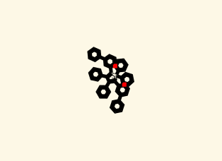 c1ccc(C2=C(c3cccc(-c4ccccc4)c3)[Si](c3ccccc3)(c3ccccc3)C(c3cccc(-c4ccccc4)c3)=C2c2ccccc2)cc1